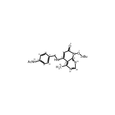 CCCCOn1c(=O)cc(NCc2ccc(NC(C)=O)cc2)c2c(C)ncnc21